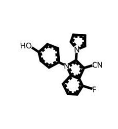 N#Cc1c(-n2cccc2)n(-c2ccc(O)cc2)c2cccc(F)c12